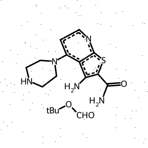 CC(C)(C)OC=O.NC(=O)c1sc2nccc(N3CCNCC3)c2c1N